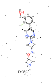 CCOC(=O)CN1CC(ON=C2CN(c3ncc(-c4cccc(CO)c4F)cn3)C2)C1